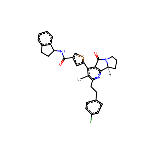 CCc1c(CCc2ccc(F)cc2)nc2c(c1-c1cc(C(=O)NC3CCc4ccccc43)cs1)C(=O)N1CCC[C@@H]21